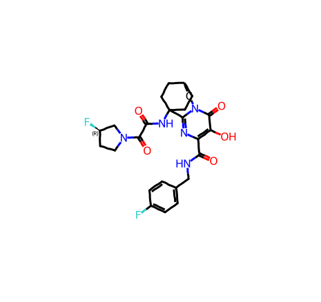 O=C(NC12CCC(CC1)Cn1c2nc(C(=O)NCc2ccc(F)cc2)c(O)c1=O)C(=O)N1CC[C@@H](F)C1